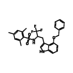 Cc1cc(C)c(S(=O)(=O)NC(Cc2c[nH]c3cccc(OCc4ccccc4)c23)C(F)(F)F)c(C)c1